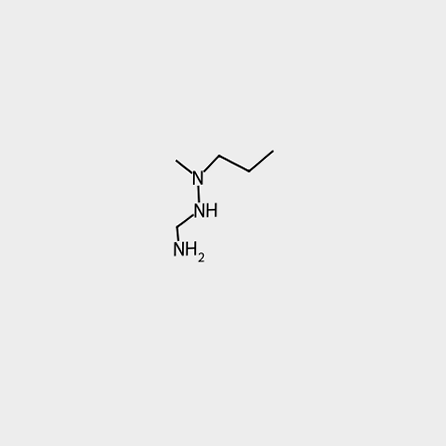 CCCN(C)NCN